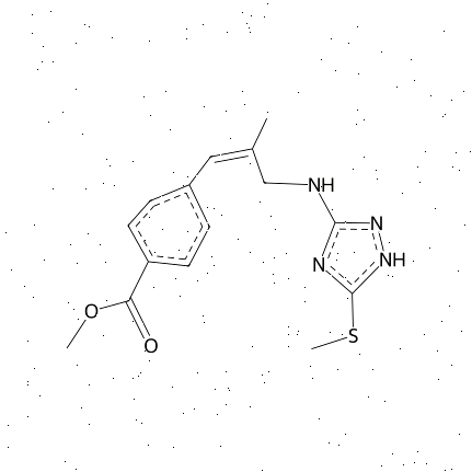 COC(=O)c1ccc(C=C(C)CNc2n[nH]c(SC)n2)cc1